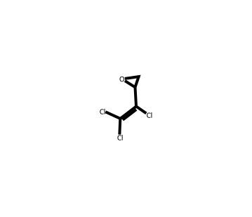 ClC(Cl)=C(Cl)C1CO1